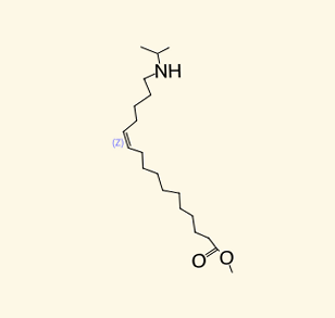 COC(=O)CCCCCCCCC/C=C\CCCCNC(C)C